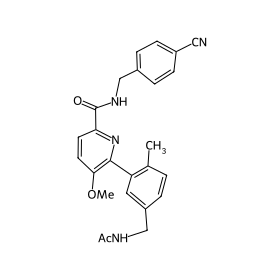 COc1ccc(C(=O)NCc2ccc(C#N)cc2)nc1-c1cc(CNC(C)=O)ccc1C